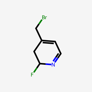 FC1CC(CBr)=CC=N1